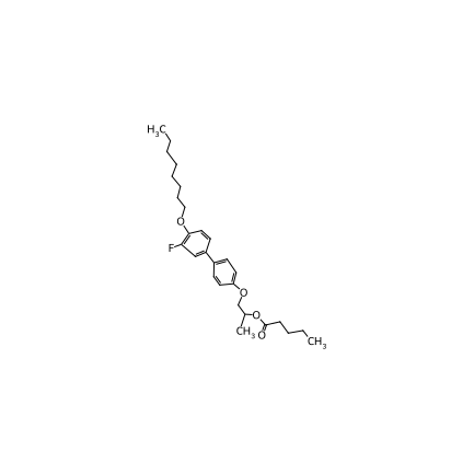 CCCCCCCCOc1ccc(-c2ccc(OCC(C)OC(=O)CCCC)cc2)cc1F